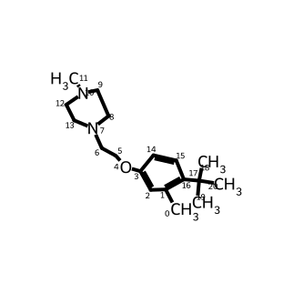 Cc1cc(OCCN2CCN(C)CC2)ccc1C(C)(C)C